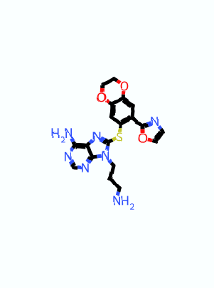 NCCCn1c(Sc2cc3c(cc2-c2ncco2)OCCO3)nc2c(N)ncnc21